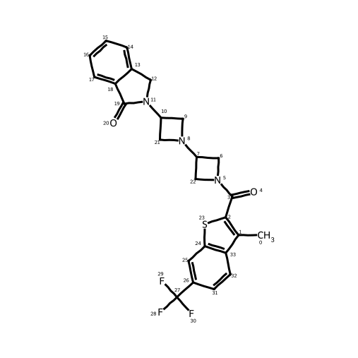 Cc1c(C(=O)N2CC(N3CC(N4Cc5ccccc5C4=O)C3)C2)sc2cc(C(F)(F)F)ccc12